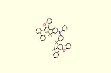 CC1(C)c2cc(N(c3ccccc3)c3ccc4c(c3)C(C)(C)c3c5c(c6oc7ccccc7c6c3-4)-c3ccccc3C5(C)C)ccc2-c2c1cc(-c1ccccc1-c1ccccc1)c1oc3ccccc3c21